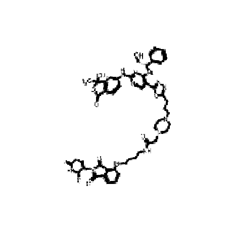 CC1(C)OC(=O)c2ccc(Nc3ncc(-c4nnc(CCCN5CCN(CC(=O)NCCCCNc6cccc7c6C(=O)N(C6CCC(=O)NC6=O)C7=O)CC5)o4)c(N[C@H](CO)c4ccccc4)n3)cc21